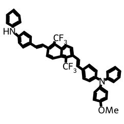 COc1ccc(N(c2ccccc2)c2ccc(C=Cc3ccc4c(C(F)(F)F)c(C=Cc5ccc(Nc6ccccc6)cc5)ccc4c3C(F)(F)F)cc2)cc1